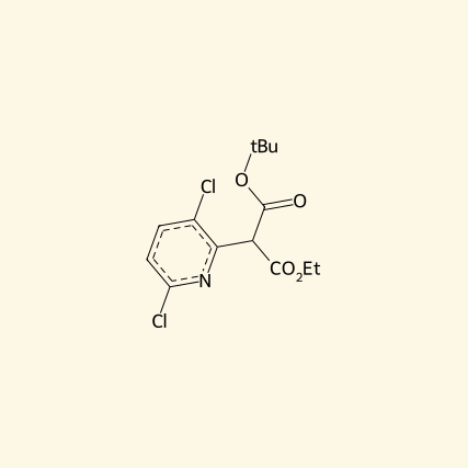 CCOC(=O)C(C(=O)OC(C)(C)C)c1nc(Cl)ccc1Cl